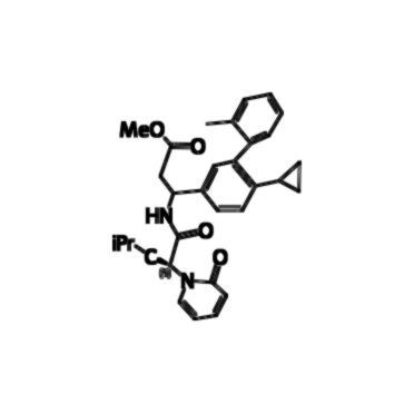 COC(=O)CC(NC(=O)[C@H](CC(C)C)n1ccccc1=O)c1ccc(C2CC2)c(-c2ccccc2C)c1